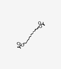 C=C(C)C(=O)OCCCCCC[CH]CCCCCCOC(=O)C(=C)C